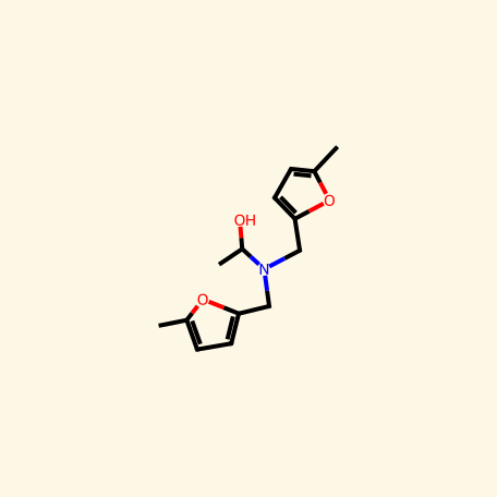 Cc1ccc(CN(Cc2ccc(C)o2)C(C)O)o1